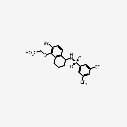 CC(C)c1ccc2c(c1OCC(=O)O)CCCC2NS(=O)(=O)c1cc(C(F)(F)F)cc(C(F)(F)F)c1